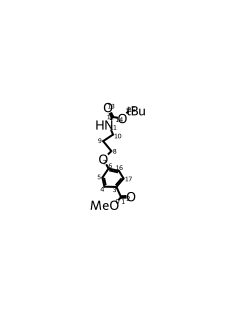 COC(=O)c1ccc(OCCCNC(=O)OC(C)(C)C)cc1